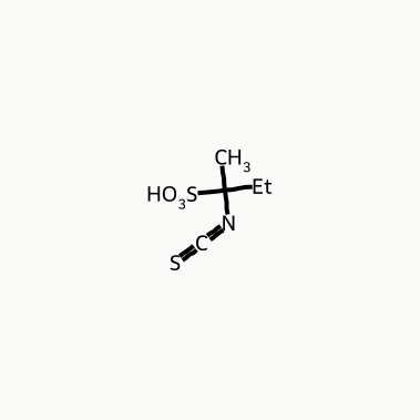 [CH2]CC(C)(N=C=S)S(=O)(=O)O